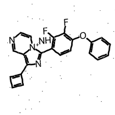 N[N+]12C=CN=CC1=C(C1=CC=C1)N=C2c1ccc(Oc2ccccc2)c(F)c1F